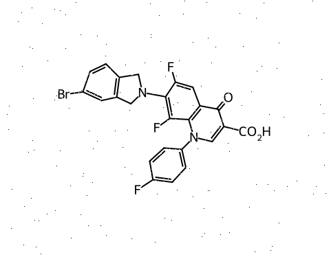 O=C(O)c1cn(-c2ccc(F)cc2)c2c(F)c(N3Cc4ccc(Br)cc4C3)c(F)cc2c1=O